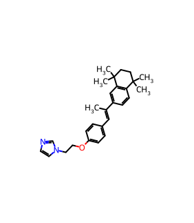 C/C(=C\c1ccc(OCCn2ccnc2)cc1)c1ccc2c(c1)C(C)(C)CCC2(C)C